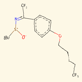 CC(C)(C)[S+]([O-])/N=C(\c1ccc(OCCCCC(F)(F)F)cc1)C(F)(F)F